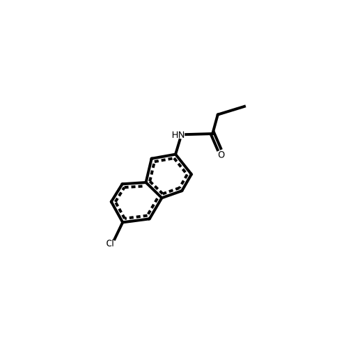 CCC(=O)Nc1ccc2cc(Cl)ccc2c1